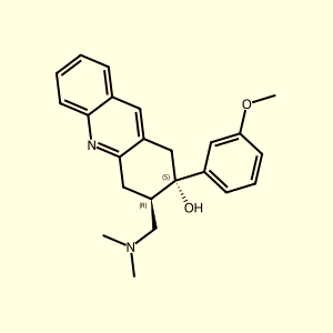 COc1cccc([C@]2(O)Cc3cc4ccccc4nc3C[C@@H]2CN(C)C)c1